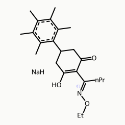 CCC/C(=N\OCC)C1=C(O)CC(c2c(C)c(C)c(C)c(C)c2C)CC1=O.[NaH]